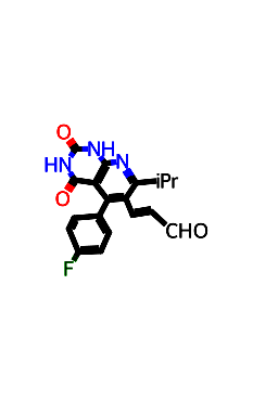 CC(C)c1nc2[nH]c(=O)[nH]c(=O)c2c(-c2ccc(F)cc2)c1C=CC=O